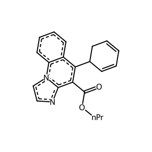 CCCOC(=O)c1c(C2C=CC=CC2)c2ccccc2n2ccnc12